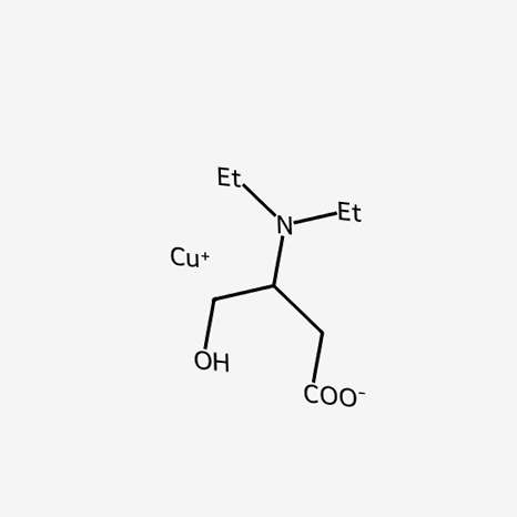 CCN(CC)C(CO)CC(=O)[O-].[Cu+]